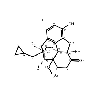 CCCCOC12CCC(=O)[C@@H]3Oc4c(O)ccc5c4[C@@]31CC[N@+]([O-])(CC1CC1)[C@@H]2C5.Cl